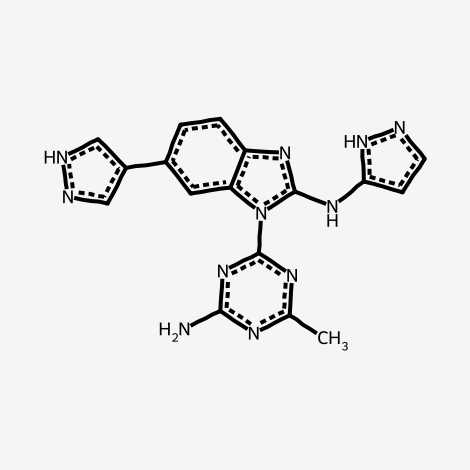 Cc1nc(N)nc(-n2c(Nc3ccn[nH]3)nc3ccc(-c4cn[nH]c4)cc32)n1